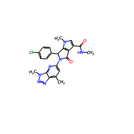 CNC(=O)c1cn(C)c2c1C(=O)N(c1cc(C)c3nnn(C)c3n1)C2c1ccc(Cl)cc1